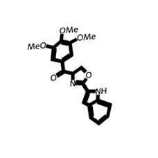 COc1cc(C(=O)C2COC(c3cc4ccccc4[nH]3)=N2)cc(OC)c1OC